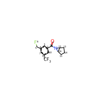 O=C(c1cc(CF)cc(C(F)(F)F)c1)N1C2CCCC21